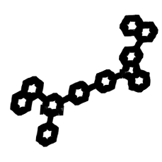 c1ccc(-c2nc(-c3ccc(-c4ccc(-n5c6ccccc6c6cc(-c7cccc8ccccc78)ccc65)cc4)cc3)cc(-c3cccc4ccccc34)n2)cc1